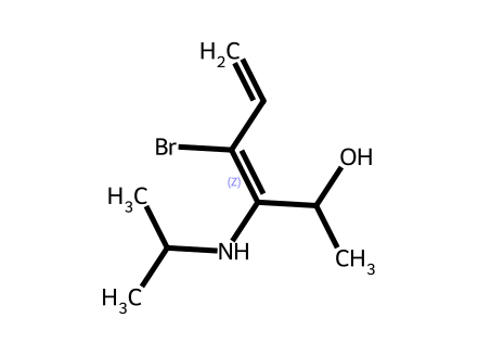 C=C/C(Br)=C(/NC(C)C)C(C)O